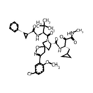 CNC(=O)C(=O)[C@H](CC1CC1)NC(=O)[C@@H]1C[C@]2(CC(c3cc(Cl)ccc3OC)=NO2)CN1C(=O)[C@@H](NC(=O)[C@H]1C[C@@H]1c1ccccc1)C(C)(C)C